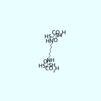 O=C(O)C(S)C(S)C(=O)NCCCCCCCCNC(=O)C(S)C(S)C(=O)O